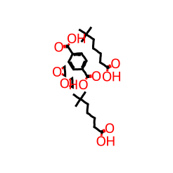 C1CO1.C1CO1.CC(C)(C)CCCCC(=O)O.CC(C)(C)CCCCC(=O)O.O=C(O)c1ccc(C(=O)O)cc1